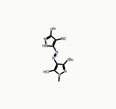 [C-]#[N+]c1c(CCC)n[nH]c1/N=N/c1c(C(C)(C)C)nn(C)c1O